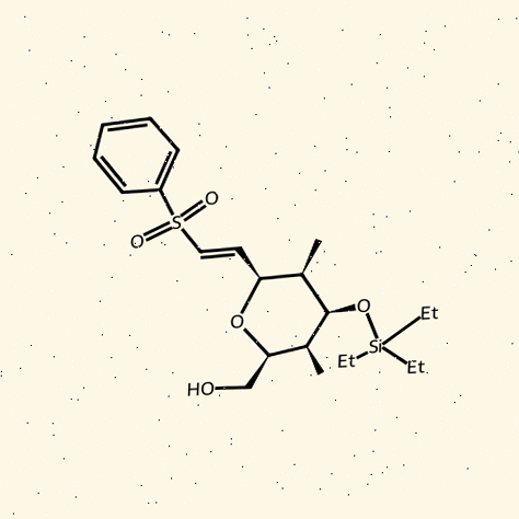 CC[Si](CC)(CC)O[C@H]1[C@@H](C)[C@@H](CO)O[C@@H](C=CS(=O)(=O)c2ccccc2)[C@H]1C